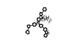 CC1(C)c2cc(-c3ccccc3)ccc2-c2ccc(N(c3ccc(-c4cccc(-c5ccccc5)c4)cc3)c3ccc(-c4ccc5sc6ccccc6c5c4)cc3)cc21